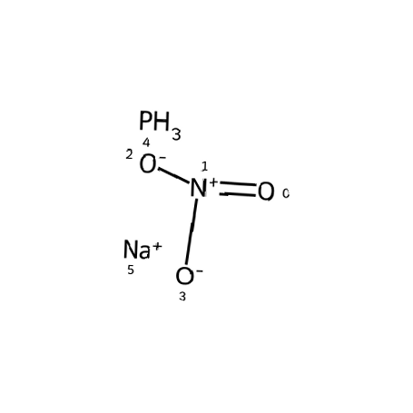 O=[N+]([O-])[O-].P.[Na+]